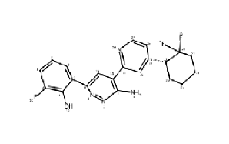 Nc1nnc(-c2cccc(F)c2O)cc1-c1cc([C@H]2CCCCC2(F)F)ccn1